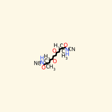 CC(C)(CCC(=O)CCC(=O)CCC(C)(C)C(=O)NC#N)C(=O)NC#N